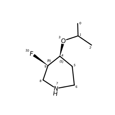 CC(C)O[C@H]1CCNC[C@H]1F